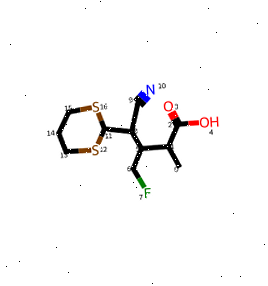 CC(C(=O)O)C(CF)C(C#N)C1SCCCS1